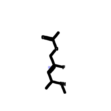 CNC(C)/C=C(\F)COC(C)=O